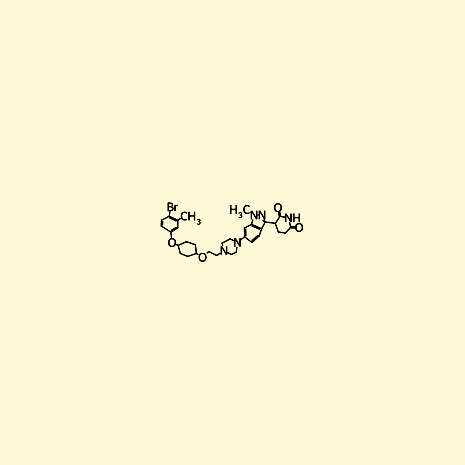 Cc1cc(OC2CCC(OCCN3CCN(c4ccc5c(C6CCC(=O)NC6=O)nn(C)c5c4)CC3)CC2)ccc1Br